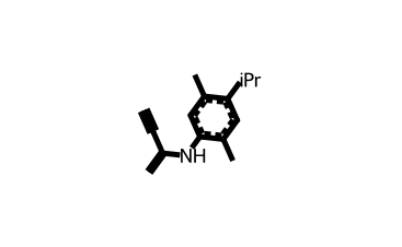 C#CC(=C)Nc1cc(C)c(C(C)C)cc1C